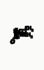 Cc1cc(C)c(Nc2nc(F)nc3c2ccn3Cc2ccccc2)c(C)c1